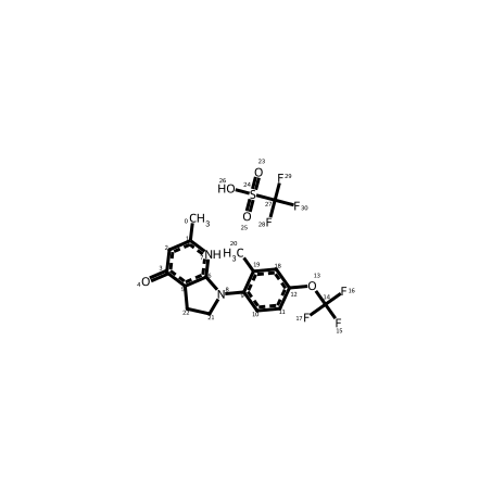 Cc1cc(=O)c2c([nH]1)N(c1ccc(OC(F)(F)F)cc1C)CC2.O=S(=O)(O)C(F)(F)F